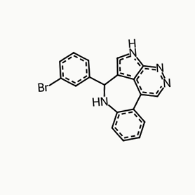 Brc1cccc(C2Nc3ccccc3-c3cnnc4[nH]cc2c34)c1